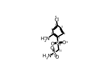 Nc1cc(Cl)ccc1S(=O)(=O)CS(N)(=O)=O